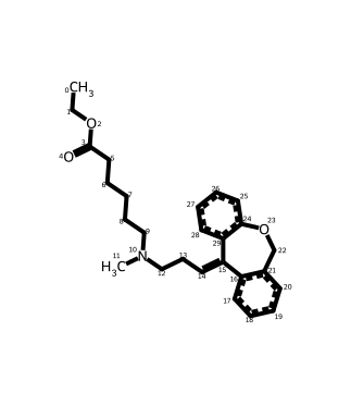 CCOC(=O)CCCCCN(C)CCC=C1c2ccccc2COc2ccccc21